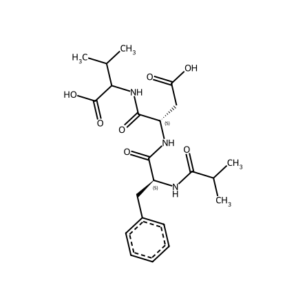 CC(C)C(=O)N[C@@H](Cc1ccccc1)C(=O)N[C@@H](CC(=O)O)C(=O)NC(C(=O)O)C(C)C